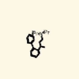 CC(CCN(C(C)C)C(C)C)c1ccccc1-c1ccccc1